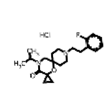 CC(C)N1CC2(CCN(CCc3ccccc3F)CC2)OC2(CC2)C1=O.Cl